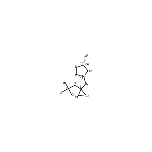 CC(C)(C)CC1(CN2CC[C@H](F)C2)CC1